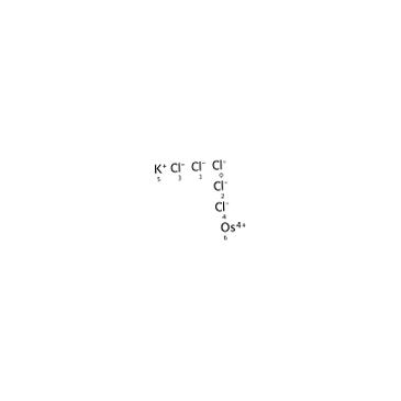 [Cl-].[Cl-].[Cl-].[Cl-].[Cl-].[K+].[Os+4]